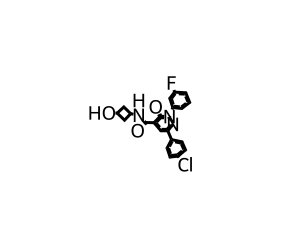 O=C(NC1CC(O)C1)c1cc(-c2ccc(Cl)cc2)nn(-c2cccc(F)c2)c1=O